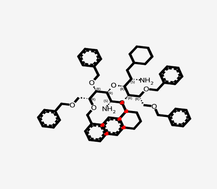 N[C@@H](CC1CCCCC1)[C@@H](O[C@@H]([C@@H](OCc1ccccc1)[C@@H](COCc1ccccc1)OCc1ccccc1)[C@@H](N)CC1CCCCC1)[C@@H](OCc1ccccc1)[C@@H](COCc1ccccc1)OCc1ccccc1